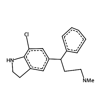 CNCCC(c1ccccc1)c1cc(Cl)c2c(c1)CCN2